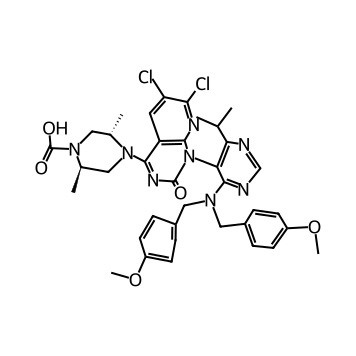 COc1ccc(CN(Cc2ccc(OC)cc2)c2ncnc(C(C)C)c2-n2c(=O)nc(N3C[C@@H](C)N(C(=O)O)C[C@@H]3C)c3cc(Cl)c(Cl)nc32)cc1